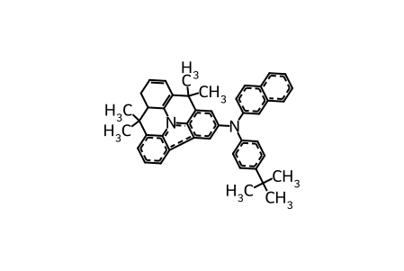 CC(C)(C)c1ccc(N(c2ccc3ccccc3c2)c2cc3c4c(c2)c2cccc5c2n4C2=C(C=CCC2C5(C)C)C3(C)C)cc1